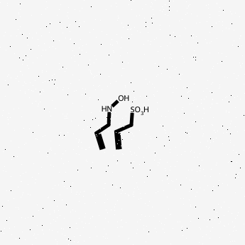 C=CCNO.C=CCS(=O)(=O)O